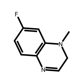 CN1CC=Nc2ccc(F)cc21